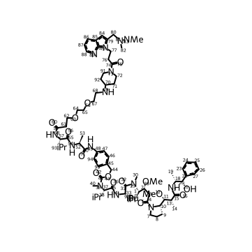 CC[C@H](C)[C@@H]([C@@H](CC(=O)N1CCC[C@H]1[C@H](OC)[C@@H](C)C(=O)N[C@H](C)[C@@H](O)c1ccccc1)OC)N(C)C(=O)[C@@H](NC(=O)[C@H](C(C)C)N(C)C(=O)OCc1ccc(NC(=O)[C@H](C)NC(=O)[C@@H](NC(=O)CCOCCOCCNC2CCN(C(=O)CCn3c(CN(C)NC)cc4cccnc43)CC2)C(C)C)cc1)C(C)C